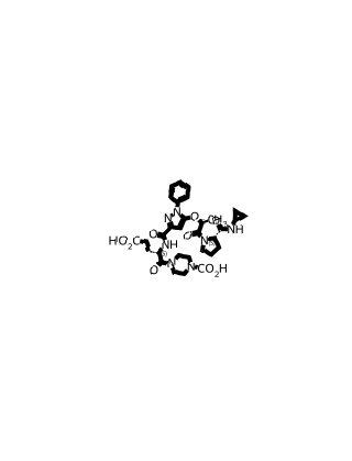 C[C@H](Oc1cc(C(=O)N[C@@H](CCC(=O)O)C(=O)N2CCN(C(=O)O)CC2)nn1-c1ccccc1)C(=O)N1CCC[C@H]1C(=O)NC1CC1